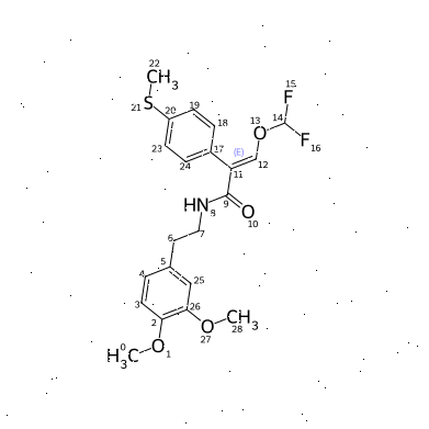 COc1ccc(CCNC(=O)/C(=C/OC(F)F)c2ccc(SC)cc2)cc1OC